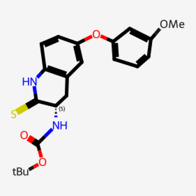 COc1cccc(Oc2ccc3c(c2)C[C@H](NC(=O)OC(C)(C)C)C(=S)N3)c1